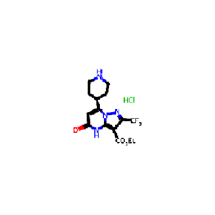 CCOC(=O)c1c(C(F)(F)F)nn2c(C3CCNCC3)cc(=O)[nH]c12.Cl